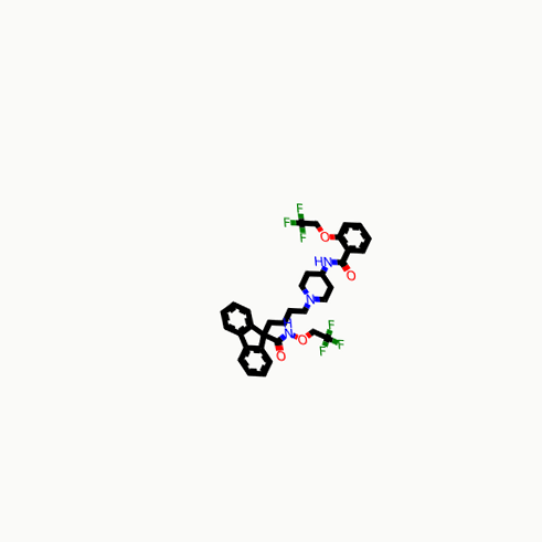 O=C(NC1CCN(CCCCC2(C(=O)NOCC(F)(F)F)c3ccccc3-c3ccccc32)CC1)c1ccccc1OCC(F)(F)F